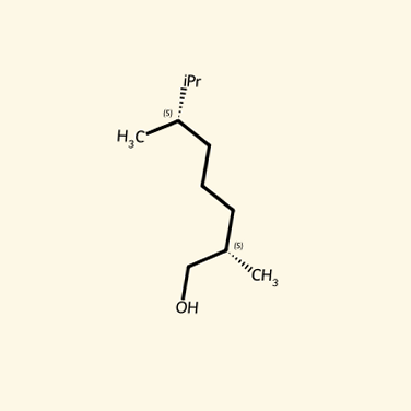 CC(C)[C@@H](C)CCC[C@H](C)CO